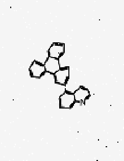 c1cc(-c2ccc3c4ccccc4c4ccccc4c3c2)c2cccnc2c1